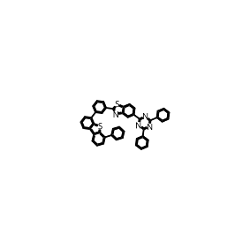 c1ccc(-c2nc(-c3ccccc3)nc(-c3ccc4sc(-c5cccc(-c6cccc7c6sc6c(-c8ccccc8)cccc67)c5)nc4c3)n2)cc1